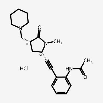 CC(=O)Nc1ccccc1C#C[C@@H]1C[C@H](CN2CCCCC2)C(=O)N1C.Cl